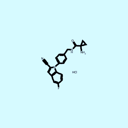 Cl.N#Cc1cc2cc(F)ccc2n1-c1ccc(CNC(=O)C2(N)CC2)cc1